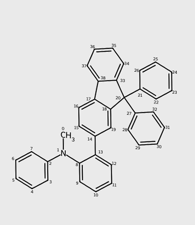 CN(c1ccccc1)c1ccccc1-c1ccc2c(c1)C(c1ccccc1)(c1ccccc1)c1ccccc1-2